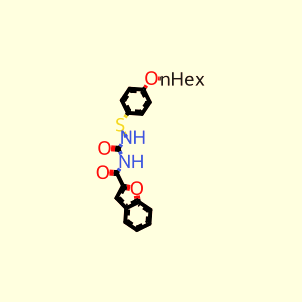 CCCCCCOc1ccc(SNC(=O)NC(=O)c2cc3ccccc3o2)cc1